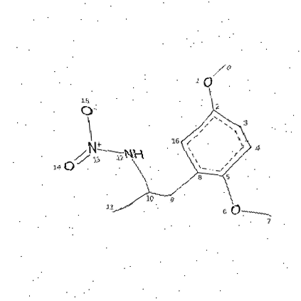 COc1ccc(OC)c(CC(C)N[N+](=O)[O-])c1